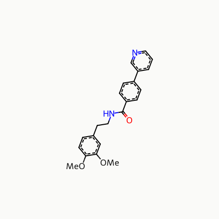 COc1ccc(CCNC(=O)c2ccc(-c3cccnc3)cc2)cc1OC